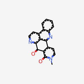 Cn1ccc2c(c1=O)C(=O)c1nccc3c1c-2nc1ccccc13